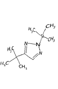 CC(C)(C)c1cnn([Si](C)(C)C)n1